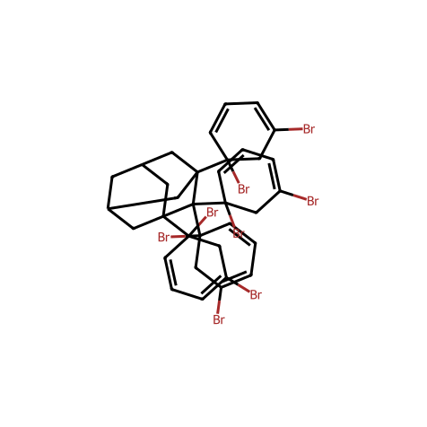 BrC1=CC=CC(Br)(C23CC4CC(C2)CC(C2(Br)C=CC=C(Br)C2)(C4)C3(C2(Br)C=CC=C(Br)C2)C2(Br)C=CC=C(Br)C2)C1